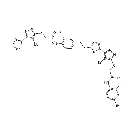 CCn1c(SCC(=O)Nc2ccc(CCc3ccc(-c4nnc(SCC(=O)Nc5ccc(C(C)C)cc5F)n4CC)o3)cc2F)nnc1-c1ccco1